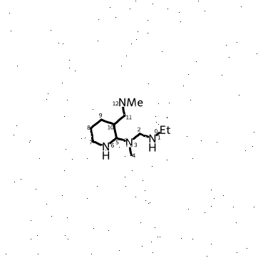 CCNCN(C)C1NCCCC1CNC